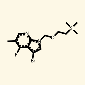 Cc1cnc2c(c(Br)cn2COCC[Si](C)(C)C)c1F